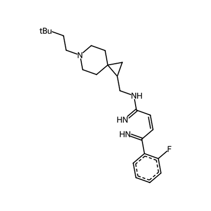 CC(C)(C)CCN1CCC2(CC1)CC2CNC(=N)/C=C\C(=N)c1ccccc1F